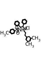 CC1=CC(C)C=C(CCCN(Cl)C(c2ccccc2)C(NS(=O)(=O)c2ccc(C)cc2)c2ccccc2)C1